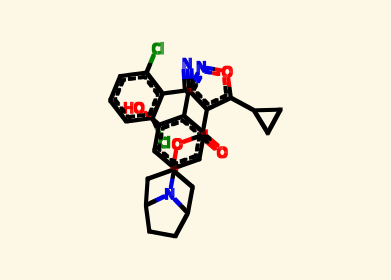 N#Cc1ccc(N2C3CCC2CC(OC(=O)c2c(-c4c(Cl)cccc4Cl)noc2C2CC2)C3)cc1O